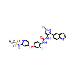 CC(C)n1cc(NC(=O)Nc2ccc(Oc3ccnc(NS(C)(=O)=O)c3)cc2F)c(-c2ccc3ncccc3c2)n1